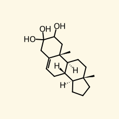 C[C@@]12CCC[C@H]1[C@@H]1CC=C3CC(O)(O)C(O)C[C@]3(C)[C@H]1CC2